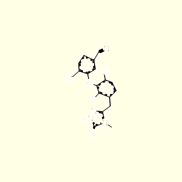 Cn1c(Cc2ccc(Cl)c(Oc3cc(C#N)ccc3Cl)c2F)n[nH]c1=O